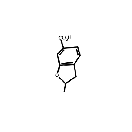 CC1Cc2ccc(C(=O)O)cc2O1